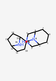 C1CC2CNCC(C1)N2C1CCC2CCC1N2